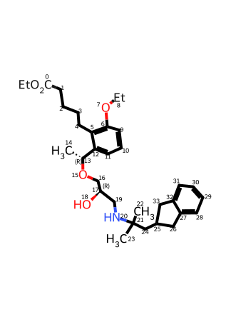 CCOC(=O)CCCCc1c(OCC)cccc1[C@@H](C)OC[C@H](O)CNC(C)(C)CC1Cc2ccccc2C1